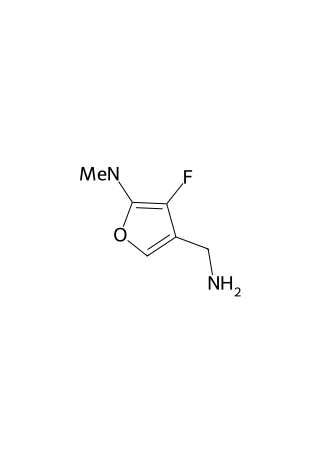 CNc1occ(CN)c1F